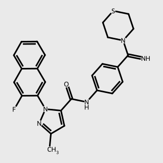 Cc1cc(C(=O)Nc2ccc(C(=N)N3CCSCC3)cc2)n(-c2cc3ccccc3cc2F)n1